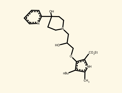 CCCCc1c(C)[nH]c(C(=O)OCC)c1OCC(O)CN1CCC(O)(c2ccccn2)CC1